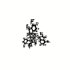 FC1=C(F)C(F)(OB(OC2(F)C(F)=C(F)c3c(F)cccc32)OC2(F)C(F)=C(F)c3c(F)cccc32)c2cccc(F)c21